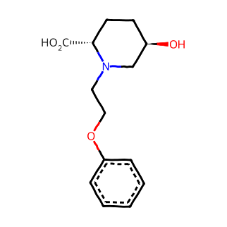 O=C(O)[C@@H]1CC[C@@H](O)CN1CCOc1ccccc1